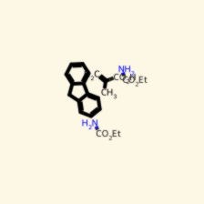 C=C(C)C(=O)O.CCOC(N)=O.CCOC(N)=O.c1ccc2c(c1)Cc1ccccc1-2